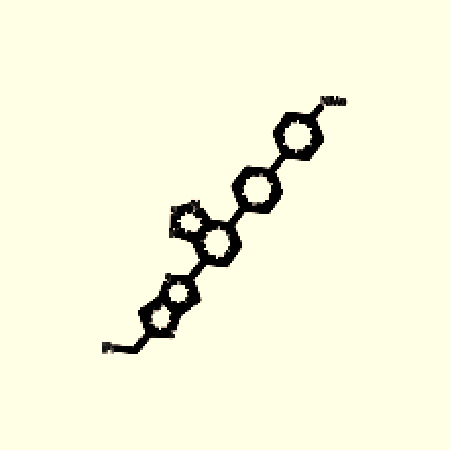 CNc1ccc(-c2ccc(-c3ccc(-c4cc5sc(CC(C)C)cc5s4)c4nsnc34)cc2)cc1